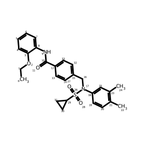 CCOc1ccccc1NC(=O)c1ccc(CN(c2ccc(C)c(C)c2)S(=O)(=O)C2CC2)cc1